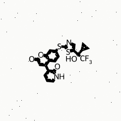 O=c1cc(-c2ccc[nH]c2=O)c2ccc(Sc3ncc(C(O)(C4CC4)C(F)(F)F)s3)cc2o1